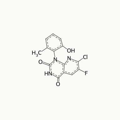 Cc1cccc(O)c1-n1c(=O)[nH]c(=O)c2cc(F)c(Cl)nc21